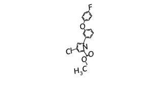 CCOC(=O)c1cc(Cl)cc(-c2cccc(Oc3ccc(F)cc3)c2)n1